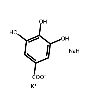 O=C([O-])c1cc(O)c(O)c(O)c1.[K+].[NaH]